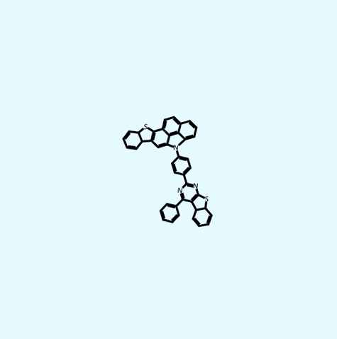 C1=CC2Sc3c(cc4c5c3ccc3cccc(c35)n4-c3ccc(-c4nc5c(c(-c6ccccc6)n4)C4C=CC=CC4S5)cc3)C2C=C1